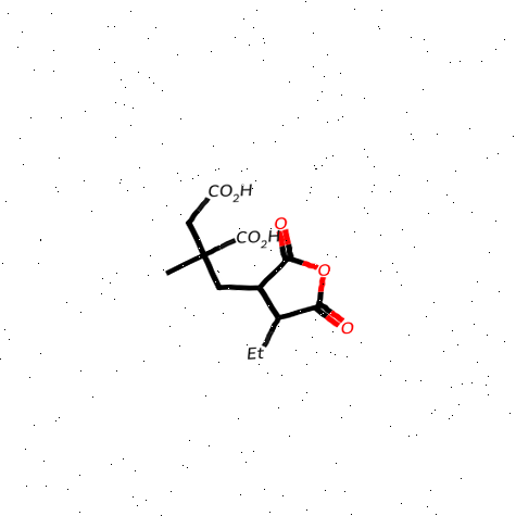 CCC1C(=O)OC(=O)C1CC(C)(CC(=O)O)C(=O)O